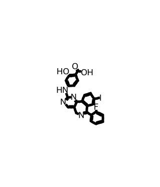 O=C(O)c1ccc(Nc2ncc3c(n2)-c2ccc(I)cc2C(c2ccccc2F)=NC3)cc1O